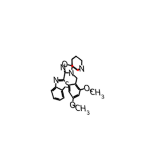 COc1ccc(CN2C(c3nc4ccccc4s3)=NOC23CN2CCC3CC2)c(OC)c1